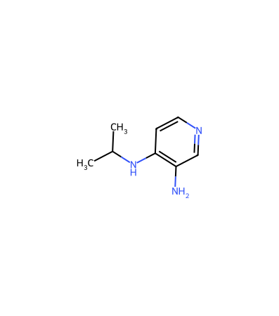 CC(C)Nc1ccncc1N